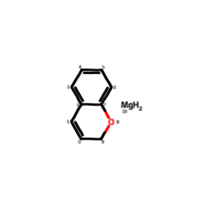 C1=Cc2ccccc2OC1.[MgH2]